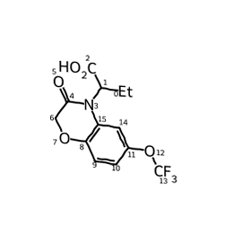 CCC(C(=O)O)N1C(=O)COc2ccc(OC(F)(F)F)cc21